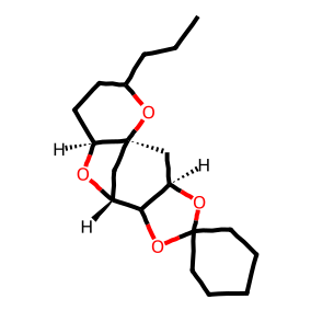 CCCC1CC[C@@H]2O[C@@H]3C[C@]2(C[C@H]2OC4(CCCCC4)OC32)O1